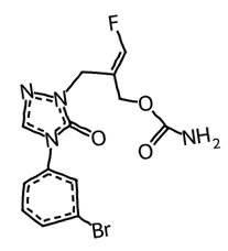 NC(=O)OC/C(=C/F)Cn1ncn(-c2cccc(Br)c2)c1=O